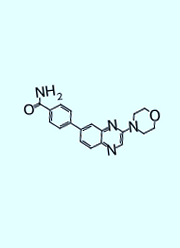 NC(=O)c1ccc(-c2ccc3ncc(N4CCOCC4)nc3c2)cc1